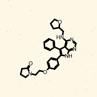 O=C1CCCN1CCOc1ccc(-c2[nH]c3ncnc(NCC4CCCO4)c3c2-c2ccccc2)cc1